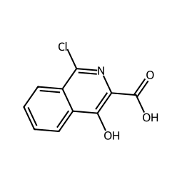 O=C(O)c1nc(Cl)c2ccccc2c1O